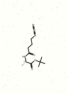 C[C@H](NC(=O)CCCN=[N+]=[N-])C(=O)OC(C)(C)C